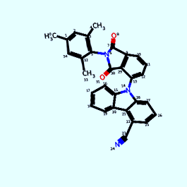 Cc1cc(C)c(N2C(=O)c3cccc(-n4c5ccccc5c5c(C#N)cccc54)c3C2=O)c(C)c1